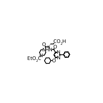 CCOC(=O)N1CCN(C(=O)[C@H](CCC(=O)O)NC(=O)c2cc(OC3CCCCC3)nc(-c3ccccc3)n2)CC1